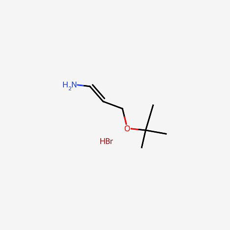 Br.CC(C)(C)OCC=CN